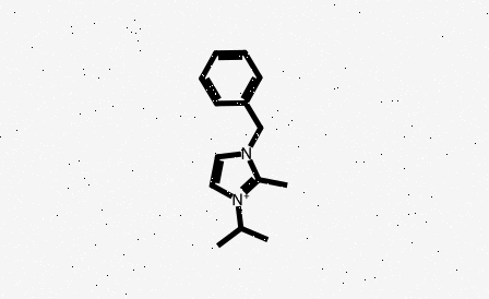 Cc1n(Cc2ccccc2)cc[n+]1C(C)C